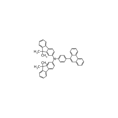 CC1(C)c2ccccc2-c2ccc(N(c3ccc(-c4cc5ccccc5c5ccccc45)cc3)c3ccc4c(c3)C(C)(C)c3ccccc3-4)cc21